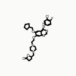 O=C1CCC(CN2CCN(CCOc3cc4ncnc(Nc5ccc(F)c(Cl)c5)c4cc3OCC3CCCC3)CC2)O1